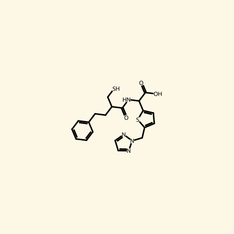 O=C(NC(C(=O)O)c1ccc(Cn2nccn2)s1)C(CS)CCc1ccccc1